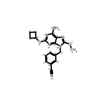 COc1nc2c(N)nc(OC3CCC3)nc2n1Cc1cccc(C#N)c1